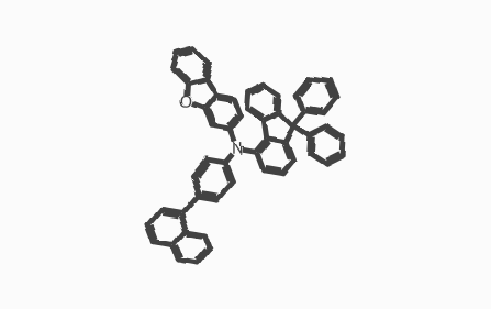 c1ccc(C2(c3ccccc3)c3ccccc3-c3c(N(c4ccc(-c5cccc6ccccc56)cc4)c4ccc5c(c4)oc4ccccc45)cccc32)cc1